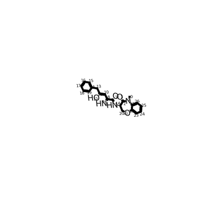 CN1C(=O)[C@@H](NC(=O)C(=N)/C=C(\O)Cc2ccccc2)COc2ccccc21